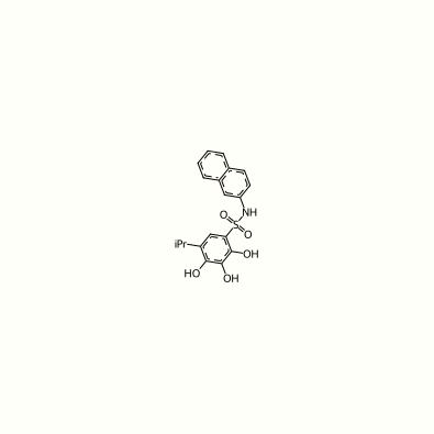 CC(C)c1cc(S(=O)(=O)Nc2ccc3ccccc3c2)c(O)c(O)c1O